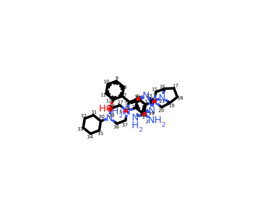 NC(N)=C(/C=C(\N)c1ccccc1O)N1CC2CCC(C1)N2c1ncc(N2CCN(C3CCCCC3)CC2)cn1